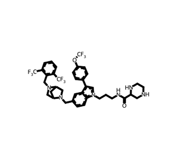 O=C(NCCCn1cc(-c2ccc(OC(F)(F)F)cc2)c2cc(CN3CC4CC3CN4Cc3c(C(F)(F)F)cccc3C(F)(F)F)ccc21)C1CNCCN1